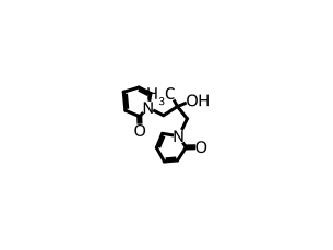 CC(O)(Cn1ccccc1=O)Cn1ccccc1=O